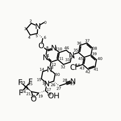 CN1CCC[C@H]1COc1nc2c(c(N3CCN(C(O)[C@@H]4O[C@H]4C(F)(F)F)[C@@H](CC#N)C3)n1)CCN(c1cccc3cccc(Cl)c13)C2